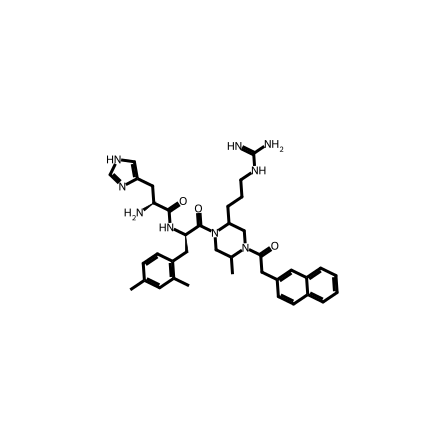 Cc1ccc(C[C@@H](NC(=O)[C@@H](N)Cc2c[nH]cn2)C(=O)N2CC(C)N(C(=O)Cc3ccc4ccccc4c3)CC2CCCNC(=N)N)c(C)c1